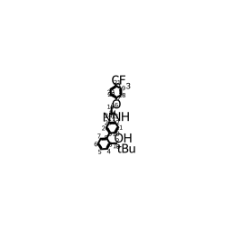 CC(C)(C)C(O)c1ccccc1-c1ccc2[nH]c(COc3ccc(C(F)(F)F)cc3)nc2c1